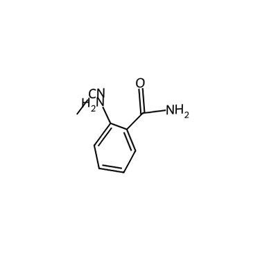 CC#N.NC(=O)c1ccccc1N